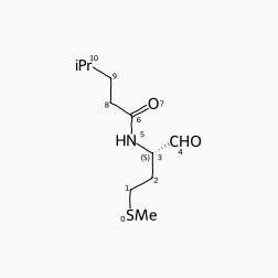 CSCC[C@@H](C=O)NC(=O)CCC(C)C